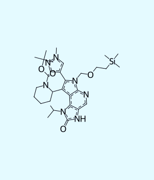 CC(C)n1c(=O)[nH]c2cnc3c(c(C4CCCCN4C(=O)OC(C)(C)C)c(-c4cnn(C)c4)n3COCC[Si](C)(C)C)c21